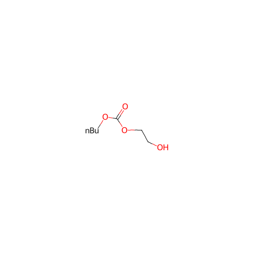 CCCCOC(=O)OCCO